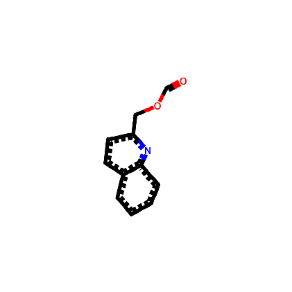 O=COCc1ccc2ccccc2n1